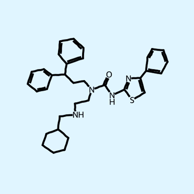 O=C(Nc1nc(-c2ccccc2)cs1)N(CCNCC1CCCCC1)CCC(c1ccccc1)c1ccccc1